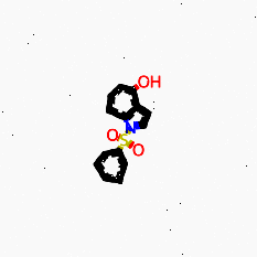 O=S(=O)(c1ccccc1)n1ccc2c(O)cccc21